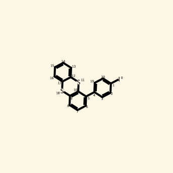 Ic1ccc(-c2cccc3c2Sc2ccccc2S3)cc1